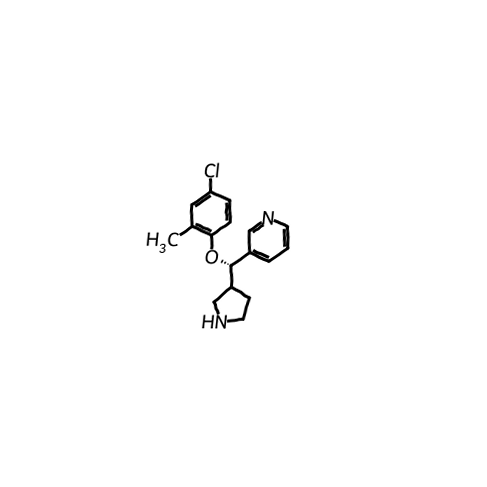 Cc1cc(Cl)ccc1O[C@H](c1cccnc1)C1CCNC1